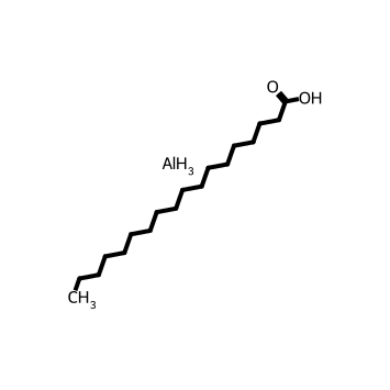 CCCCCCCCCCCCCCCCCC(=O)O.[AlH3]